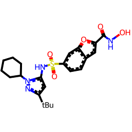 CC(C)(C)c1cc(NS(=O)(=O)c2ccc3cc(C(=O)NO)oc3c2)n(C2CCCCC2)n1